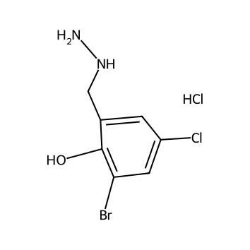 Cl.NNCc1cc(Cl)cc(Br)c1O